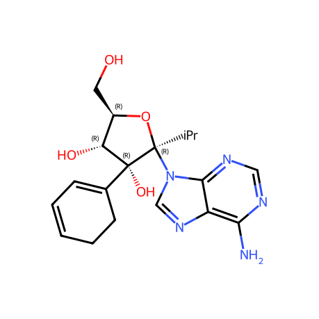 CC(C)[C@@]1(n2cnc3c(N)ncnc32)O[C@H](CO)[C@@H](O)[C@]1(O)C1=CC=CCC1